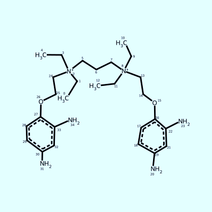 CC[N+](CC)(CCC[N+](CC)(CC)CCOc1ccc(N)cc1N)CCOc1ccc(N)cc1N